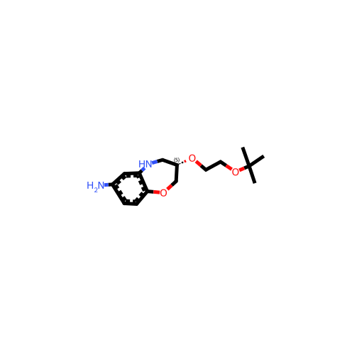 CC(C)(C)OCCO[C@H]1CNc2cc(N)ccc2OC1